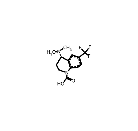 CN(C)[C@H]1CCN(C(=O)O)c2ccc(C(F)(F)F)cc21